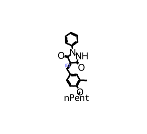 CCCCCOc1ccc(/C=C2\C(=O)NN(c3ccccc3)C2=O)cc1C